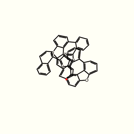 c1ccc(-c2cccc3oc4cccc(-c5nc(-c6ccccc6-c6cccc7oc8cc9ccccc9cc8c67)nc(-c6cccc7ccccc67)n5)c4c23)cc1